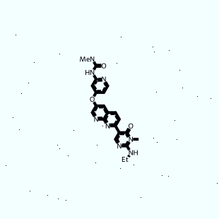 CCNc1ncc(-c2ccc3cc(Oc4ccnc(NC(=O)NC)c4)cnc3n2)c(=O)n1C